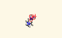 CC(C)N(C(C)C)C(C)C.O=[N+]([O-])O